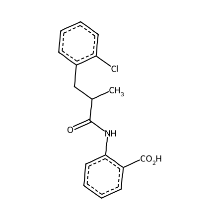 CC(Cc1ccccc1Cl)C(=O)Nc1ccccc1C(=O)O